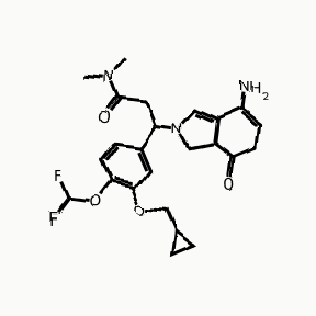 CN(C)C(=O)CC(c1ccc(OC(F)F)c(OCC2CC2)c1)N1C=C2C(N)=CCC(=O)C2C1